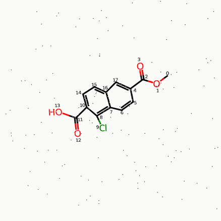 COC(=O)c1ccc2c(Cl)c(C(=O)O)ccc2c1